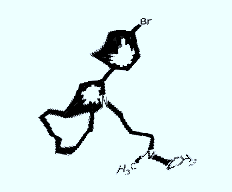 CN(C)CCCn1c(-c2ccc(Br)cc2)cc2c1CCCCC2